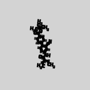 CCC(CC)C(=O)Nc1ccc(N2CCN(C(=O)OC(C)(C)C)CC2)c(C#N)c1